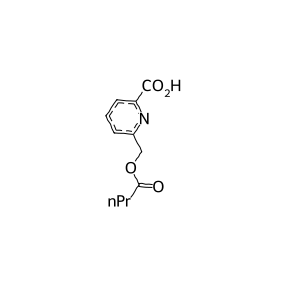 CCCC(=O)OCc1cccc(C(=O)O)n1